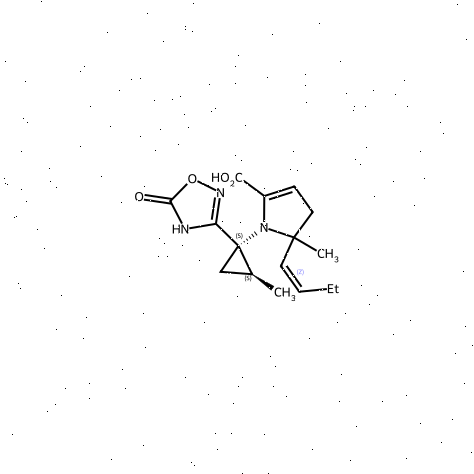 CC/C=C\C1(C)CC=C(C(=O)O)N1[C@@]1(c2noc(=O)[nH]2)C[C@@H]1C